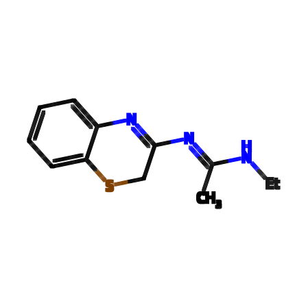 CCN/C(C)=N/C1=Nc2ccccc2SC1